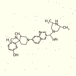 CCCC(c1cnc2cc(N3CCC(c4cccc(O)c4)(N(C)C)CC3)ccc2c1)N1CC(C)NC(C)C1